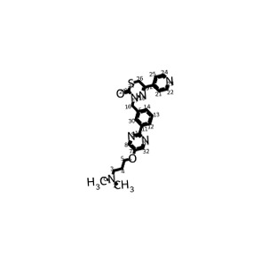 CN(C)CCCOc1cnc(-c2cccc(CN3N=C(c4ccncc4)CSC3=O)c2)nc1